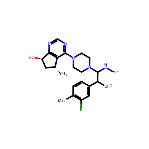 COc1ccc(C(C=O)C(NC(C)C)N2CCN(c3ncnc4c3[C@H](C)C[C@H]4O)CC2)cc1F